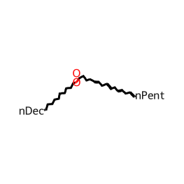 CCCCCC=CCC=CCC=CCC=CCCCC(=O)OCCCCCCCCCCCCCCCCCCCC